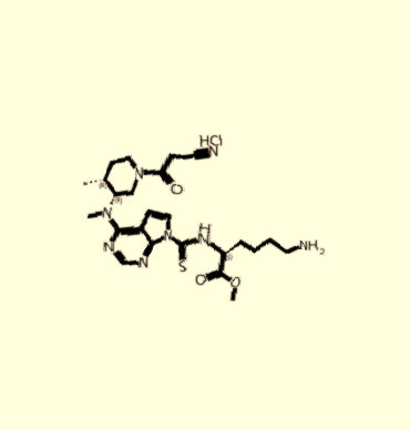 COC(=O)[C@H](CCCCN)NC(=S)n1ccc2c(N(C)[C@H]3CN(C(=O)CC#N)CC[C@H]3C)ncnc21.Cl